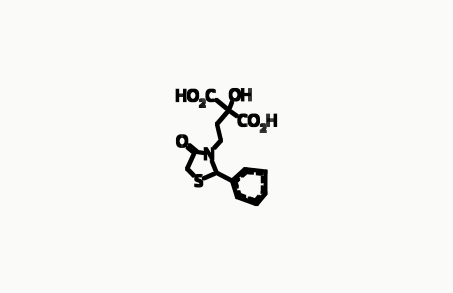 O=C1CSC(c2ccccc2)N1CCC(O)(C(=O)O)C(=O)O